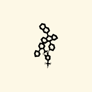 FC(F)(F)c1ccc2c(c1)nc(-c1ccccc1-c1ccccc1)n2-c1cccc(-c2c3ccccc3c(-c3ccc4ccccc4c3)c3ccccc23)c1